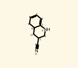 N#CC1CNC2=CC=CCC2C1